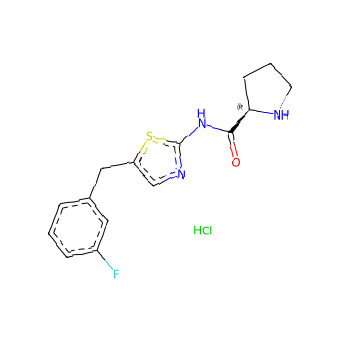 Cl.O=C(Nc1ncc(Cc2cccc(F)c2)s1)[C@H]1CCCN1